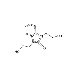 O=c1n(CCO)c2ccccc2n1CCO